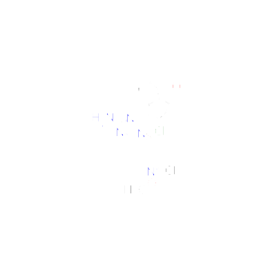 CON=C(C)CCSN1C=NC(N)=NC1c1c(Cl)cc2c3c(cccc13)COC2